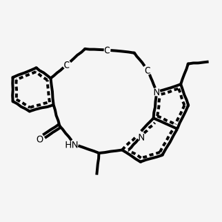 CCc1cc2ccc3nc2n1CCCCCc1ccccc1C(=O)NC3C